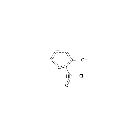 O=[PH](Cl)c1ccccc1O